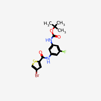 CC(C)(C)OC(=O)Nc1cc(F)cc(NC(=O)c2cc(Br)cs2)c1